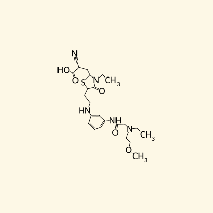 CCN(CCOC)CC(=O)Nc1cccc(NCCC2SC(CC(C#N)C(=O)O)N(CC)C2=O)c1